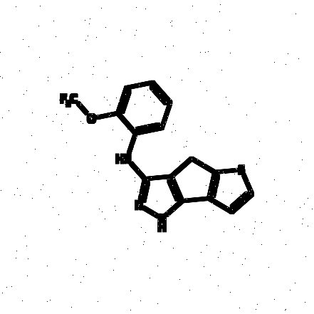 FC(F)(F)Oc1ccccc1Nc1n[nH]c2c1Cc1sccc1-2